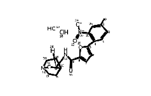 Cc1ccc(-c2ccc(C(=O)N[C@H]3CN4CCC3CC4)o2)c([N+](=O)[O-])c1.Cl.Cl